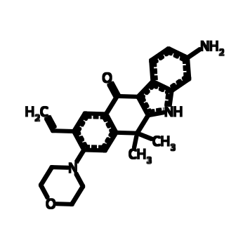 C=Cc1cc2c(cc1N1CCOCC1)C(C)(C)c1[nH]c3cc(N)ccc3c1C2=O